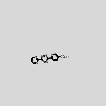 O=C(O)c1ccc(-c2nnc(-c3ncccn3)nn2)nc1